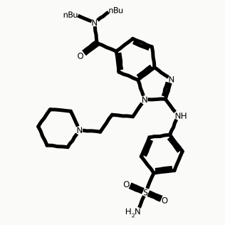 CCCCN(CCCC)C(=O)c1ccc2nc(Nc3ccc(S(N)(=O)=O)cc3)n(CCCN3CCCCC3)c2c1